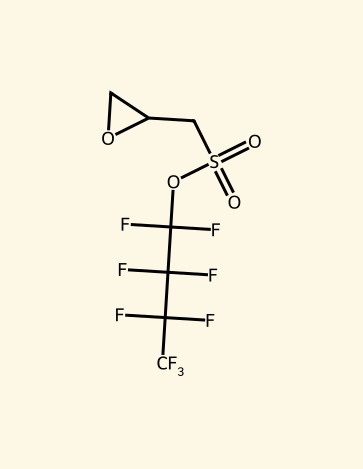 O=S(=O)(CC1CO1)OC(F)(F)C(F)(F)C(F)(F)C(F)(F)F